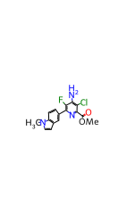 COC(=O)c1nc(-c2ccc3c(ccn3C)c2)c(F)c(N)c1Cl